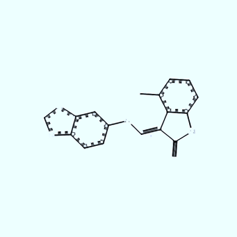 Cc1cccc2c1/C(=C\Nc1ccc3ncsc3c1)C(=O)N2